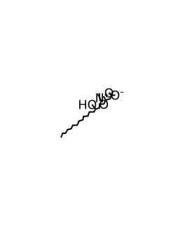 CCCCCCCCCCCCCC(O)CCOC(CC(=O)[O-])C[N+](C)(C)C